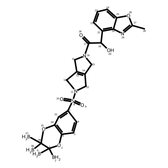 BC1(B)Oc2ccc(S(=O)(=O)N3CC4=C(CN(C(=O)C(O)c5cccc6oc(C)nc56)C4)C3)cc2OC1(B)B